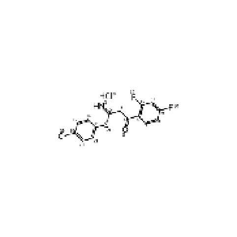 Cl.N=C(CC(=O)c1ccc(F)cc1F)Sc1ccc(Cl)cc1